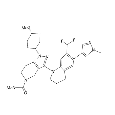 CNC(=O)N1CCc2c(c(N3CCCc4cc(-c5cnn(C)c5)c(C(F)F)cc43)nn2[C@H]2CC[C@@H](OC)CC2)C1